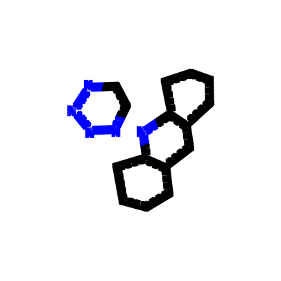 c1ccc2nc3ccccc3cc2c1.c1cnnnn1